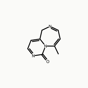 CC1=CC=NCc2ccnc(=O)n21